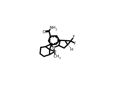 COC1(c2cccc(C(N)=O)c2)C2CCCC1CN(C1CC3[C@H](C1)C3(F)F)C2